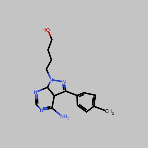 Cc1ccc(C2=NN(CCCCO)C3N=CN=C(N)C23)cc1